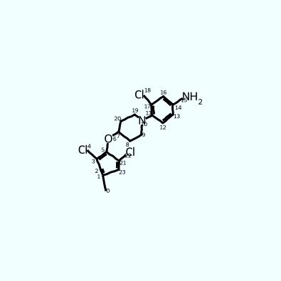 Cc1cc(Cl)c(OC2CCN(c3ccc(N)cc3Cl)CC2)c(Cl)c1